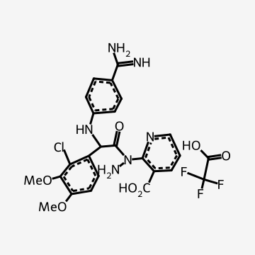 COc1ccc(C(Nc2ccc(C(=N)N)cc2)C(=O)N(N)c2ncccc2C(=O)O)c(Cl)c1OC.O=C(O)C(F)(F)F